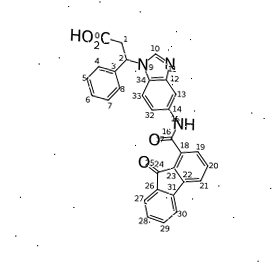 O=C(O)CC(c1ccccc1)n1cnc2cc(NC(=O)c3cccc4c3C(=O)c3ccccc3-4)ccc21